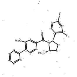 COc1cc(C(=O)N2[C@@H](c3ccc(F)cc3F)CC[C@H]2C(=O)O)ccc1-c1ccccc1